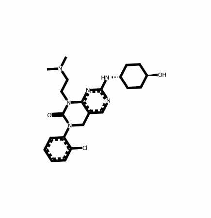 CN(C)CCN1C(=O)N(c2ccccc2Cl)Cc2cnc(N[C@H]3CC[C@H](O)CC3)nc21